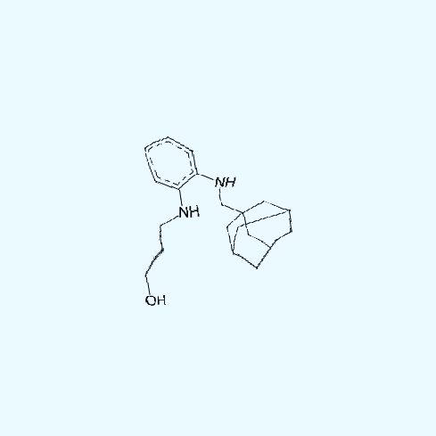 OCCCNc1ccccc1NCC12CC3CC(CC(C3)C1)C2